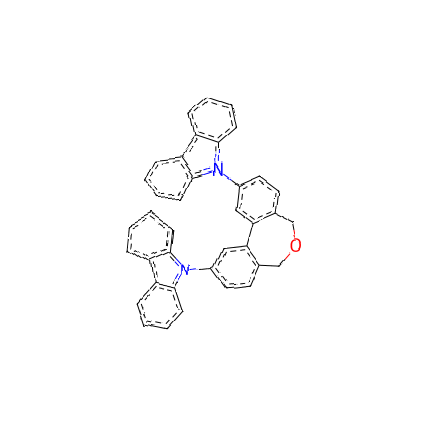 c1ccc2c(c1)c1ccccc1n2-c1ccc2c(c1)-c1cc(-n3c4ccccc4c4ccccc43)ccc1COC2